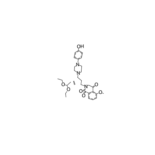 C=C.CCOC(C)OCC.COc1cccc2c1C(=O)CN(CCCN1CCN(c3ccc(O)cc3)CC1)S2(=O)=O